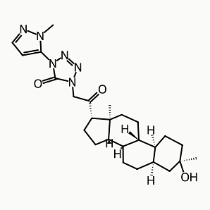 Cn1nccc1-n1nnn(CC(=O)[C@H]2CC[C@H]3[C@@H]4CC[C@@H]5C[C@](C)(O)CC[C@@H]5[C@H]4CC[C@]23C)c1=O